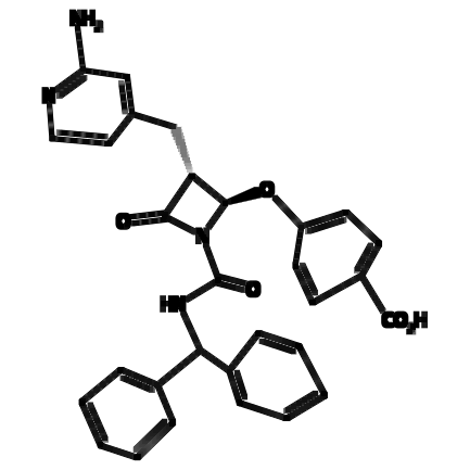 Nc1cc(C[C@H]2C(=O)N(C(=O)NC(c3ccccc3)c3ccccc3)[C@@H]2Oc2ccc(C(=O)O)cc2)ccn1